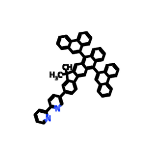 CC1(C)c2cc(-c3ccc(-c4ccccn4)nc3)ccc2-c2cc3c(-c4cc5ccccc5c5ccccc45)c4ccccc4c(-c4cc5ccccc5c5ccccc45)c3cc21